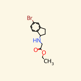 CCOC(=O)CNC1CCc2cc(Br)ccc21